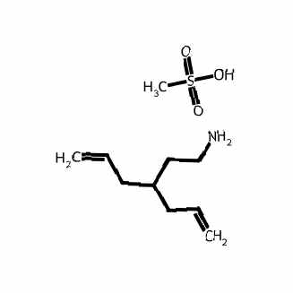 C=CCC(CC=C)CCN.CS(=O)(=O)O